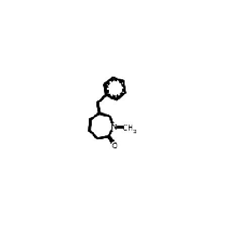 CN1CC(Cc2ccccc2)CCCC1=O